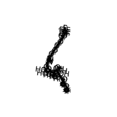 CC(=O)N[C@H]1[C@H]([C@H](O)[C@H](O)CNC(=O)c2cccc(Oc3ccccc3)c2)O[C@@](OC[C@H]2O[C@@H](OCCc3cn(CCOCCOCCOCCOCCC(=O)Oc4c(F)c(F)c(F)c(F)c4F)nn3)[C@H](O)[C@@H](O)[C@H]2O)(C(=O)O)C[C@@H]1O